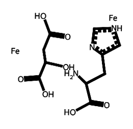 NC(Cc1c[nH]cn1)C(=O)O.O=C(O)CC(O)C(=O)O.[Fe].[Fe]